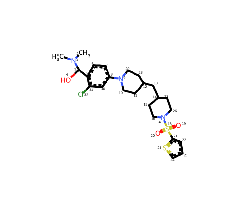 CN(C)C(O)c1ccc(N2CCC(CC3CCN(S(=O)(=O)c4cccs4)CC3)CC2)cc1Cl